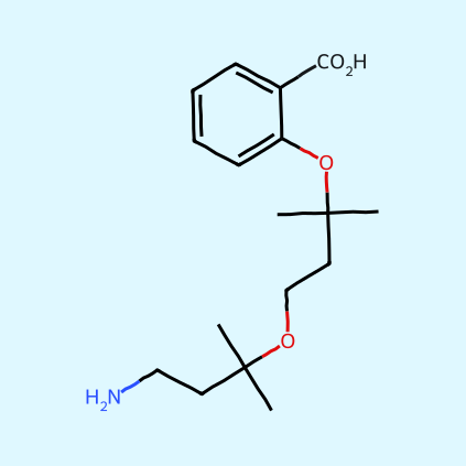 CC(C)(CCN)OCCC(C)(C)Oc1ccccc1C(=O)O